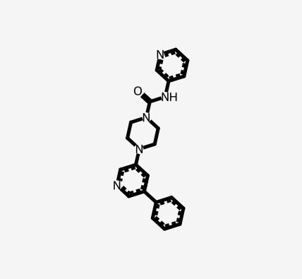 O=C(Nc1cccnc1)N1CCN(c2cncc(-c3ccccc3)c2)CC1